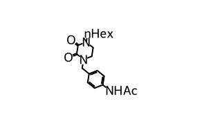 CCCCCCN1CCN(Cc2ccc(NC(C)=O)cc2)C(=O)C1=O